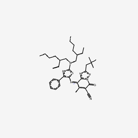 CCCCC(CC)CN(CC(CC)CCCC)c1nc(-c2ccccc2)c(/N=C2/C(C)=C(C#N)C(=O)n3nc(CC(C)(C)C)nc32)s1